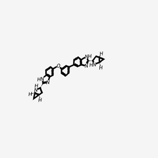 c1cc(Oc2ccc3[nH]c([C@@H]4C[C@H]5C[C@H]5N4)nc3c2)cc(-c2ccc3[nH]c([C@@H]4C[C@H]5C[C@H]5N4)nc3c2)c1